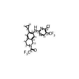 O=C(N1CCc2cc(C3CC3)c(Nc3ncc(C(F)(F)F)c(Cl)n3)cc2C1)C(F)(F)F